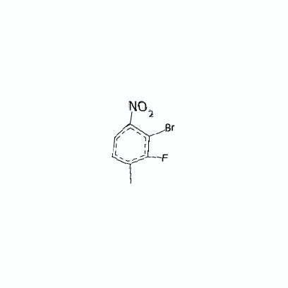 Cc1ccc([N+](=O)[O-])c(Br)c1F